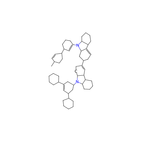 CC1C=CC(C2C=C(N3C4CC(C5=CC6C7CCCCC7N(C7CC(C8CCCCC8)=CC(C8CCCCC8)C7)C6CC5)CC=C4C4CCCCC43)CCC2)CC1